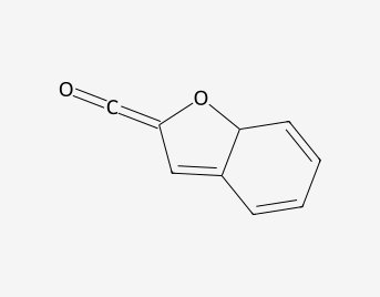 O=C=C1C=C2C=CC=CC2O1